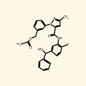 NC(=O)OCc1cccc(-n2nc(C(F)(F)F)cc2C(=O)Nc2cc(C(O)c3ccccc3)ccc2F)c1